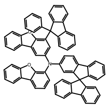 c1ccc(C2(c3cc(N(c4ccc5c(c4)C4(c6ccccc6-c6ccccc64)c4ccccc4-5)c4cccc5c4oc4ccccc45)cc4c3oc3ccccc34)c3ccccc3-c3ccccc32)cc1